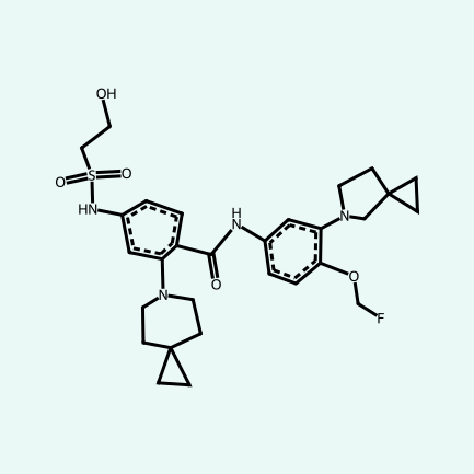 O=C(Nc1ccc(OCF)c(N2CCC3(CC3)C2)c1)c1ccc(NS(=O)(=O)CCO)cc1N1CCC2(CC1)CC2